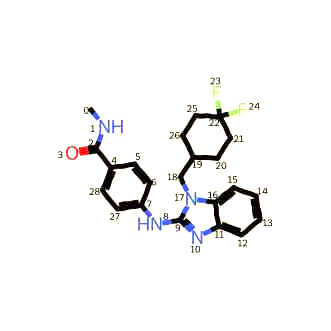 CNC(=O)c1ccc(Nc2nc3ccccc3n2CC2CCC(F)(F)CC2)cc1